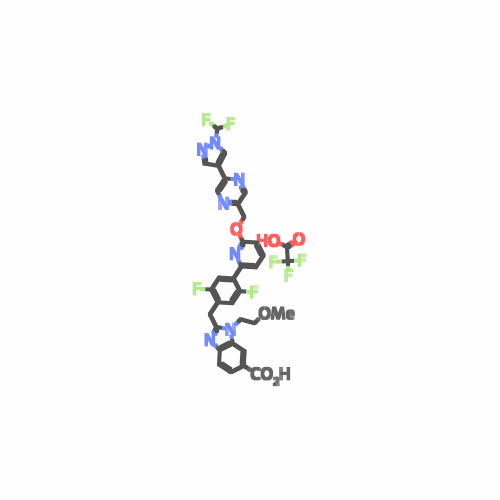 COCCn1c(Cc2cc(F)c(-c3cccc(OCc4cnc(-c5cnn(C(F)F)c5)cn4)n3)cc2F)nc2ccc(C(=O)O)cc21.O=C(O)C(F)(F)F